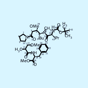 CC[C@H](C)[C@@H]([C@@H](CC(=O)N1CCC[C@H]1C(OC)C(C)C(=O)N[C@@H](Cc1ccccc1)C(=O)OC)OC)N(C)C(=O)[C@@H](NC(=O)OC(C)(C)I)C(C)C